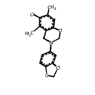 Cc1cc2c(c(C)c1Cl)CN(c1ccc3c(c1)OCO3)CO2